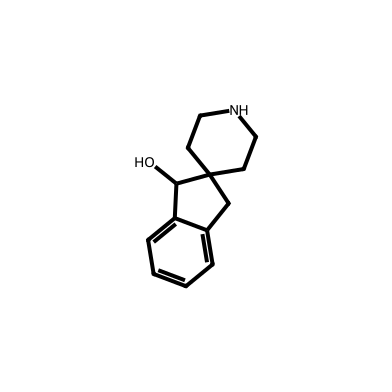 OC1c2ccccc2CC12CCNCC2